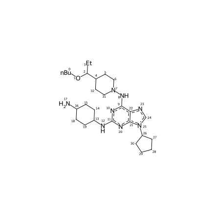 CCCCOC(CC)C1CCN(Nc2nc(NC3CCC(N)CC3)nc3c2ncn3C2CCCC2)CC1